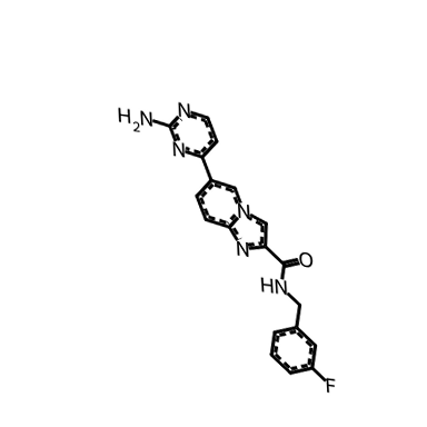 Nc1nccc(-c2ccc3nc(C(=O)NCc4cccc(F)c4)cn3c2)n1